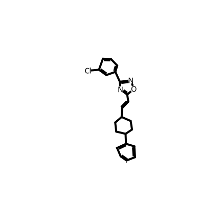 Clc1cccc(-c2noc(C=CC3CCC(c4cc[c]cc4)CC3)n2)c1